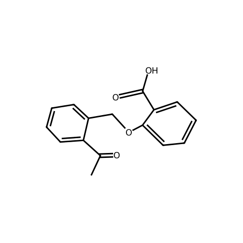 CC(=O)c1ccccc1COc1ccccc1C(=O)O